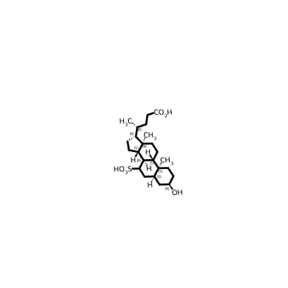 C[C@H](CCC(=O)O)[C@H]1CC[C@H]2[C@@H]3C(S(=O)(=O)O)C[C@@H]4C[C@H](O)CC[C@]4(C)[C@H]3CC[C@]12C